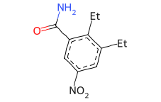 CCc1cc([N+](=O)[O-])cc(C(N)=O)c1CC